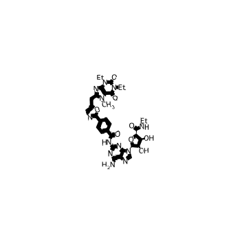 CCNC(=O)[C@@H]1O[C@@H](n2cnc3c(N)nc(NC(=O)c4ccc(-c5ncc(Cc6nc7c(c(=O)n(CC)c(=O)n7CC)n6C)o5)cc4)nc32)[C@H](O)[C@@H]1O